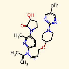 C=C(C)N(/C=C\COC1CCN(c2ncc(CCC)cn2)CC1)c1ccc(N2CCC(O)C2=O)c(C)n1